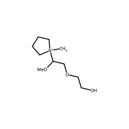 COC(COCCO)[N+]1(C)CCCC1